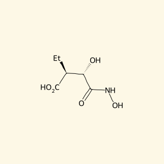 CC[C@H](C(=O)O)[C@H](O)C(=O)NO